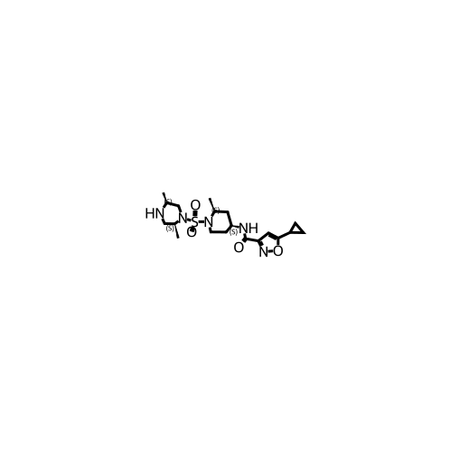 C[C@H]1CN(S(=O)(=O)N2CC[C@H](NC(=O)c3cc(C4CC4)on3)C[C@@H]2C)[C@@H](C)CN1